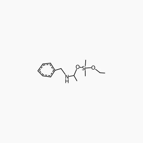 CCO[Si](C)(C)OC(C)NCc1ccccc1